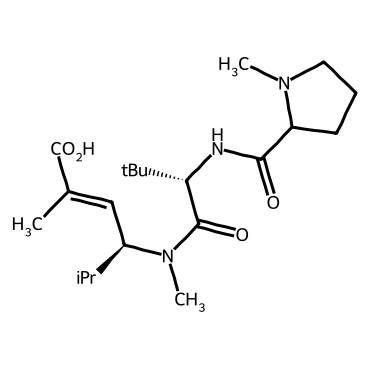 C/C(=C\[C@H](C(C)C)N(C)C(=O)[C@@H](NC(=O)C1CCCN1C)C(C)(C)C)C(=O)O